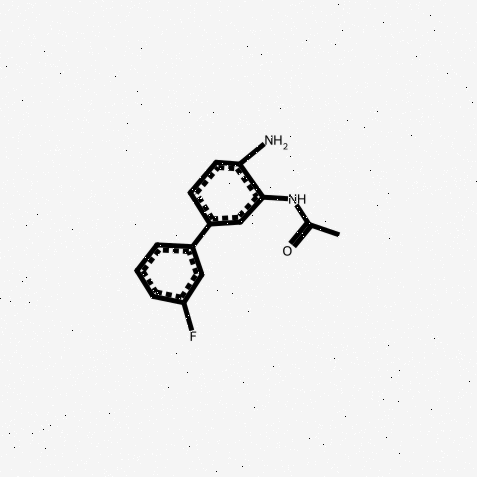 CC(=O)Nc1cc(-c2cccc(F)c2)ccc1N